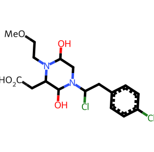 COCCN1C(O)CN(C(Cl)Cc2ccc(Cl)cc2)C(O)C1CC(=O)O